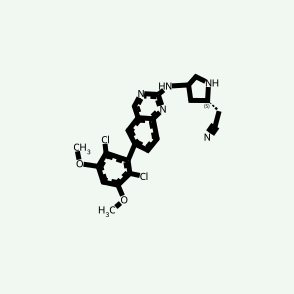 COc1cc(OC)c(Cl)c(-c2ccc3nc(NC4CN[C@H](CC#N)C4)ncc3c2)c1Cl